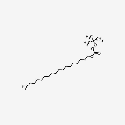 CCCCCCCCCCCCCCCCCCOC(=O)OOC(C)(C)C